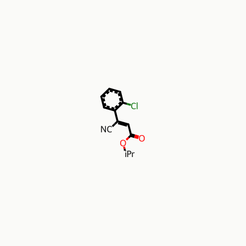 CC(C)OC(=O)C=C(C#N)c1ccccc1Cl